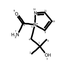 CC(C)(O)C[N+]1(C(N)=O)C=C[C]=N1